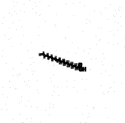 CCCCCCCC=CCCCCCCCCCCC(=O)O